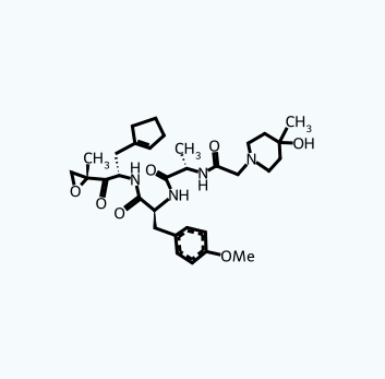 COc1ccc(C[C@H](NC(=O)[C@H](C)NC(=O)CN2CCC(C)(O)CC2)C(=O)N[C@@H](CC2=CCCC2)C(=O)[C@@]2(C)CO2)cc1